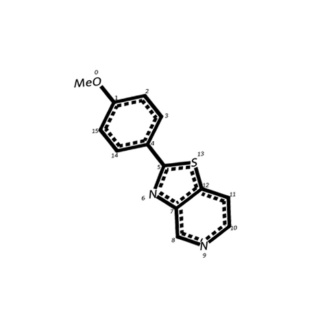 COc1ccc(-c2nc3cnccc3s2)cc1